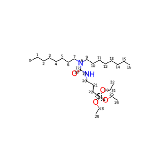 CCCCCCCCN(CCCCCCCC)C(=O)NCCC[Si](OCC)(OCC)OCC